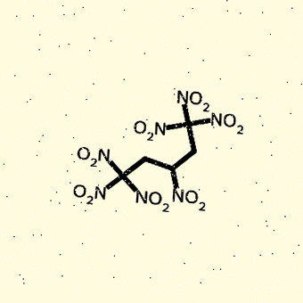 O=[N+]([O-])C(CC([N+](=O)[O-])([N+](=O)[O-])[N+](=O)[O-])CC([N+](=O)[O-])([N+](=O)[O-])[N+](=O)[O-]